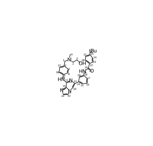 CN(CCO)Cc1ccc(Nc2nc(-c3cccc(NC(=O)c4ccc(C(C)(C)C)cc4)c3)cn3ccnc23)cc1